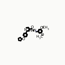 COc1cc(/C=N/NC(=O)c2ccnc(-c3ccc(OC4CCCC4)cc3)c2)cc(OC)c1